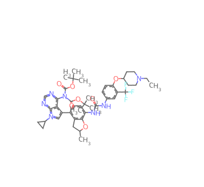 CCN1CCC(Oc2ccc(NC(=O)Nc3ccc(-c4cn(C5CC5)c5ncnc(N(C(=O)OC(C)(C)C)C(=O)OC(C)(C)C)c45)c4c3OC(C)C4)cc2C(F)(F)F)CC1